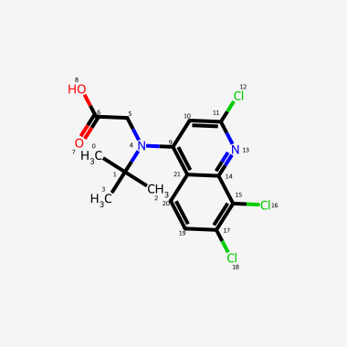 CC(C)(C)N(CC(=O)O)c1cc(Cl)nc2c(Cl)c(Cl)ccc12